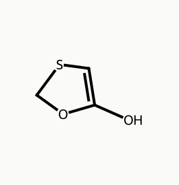 OC1=CSCO1